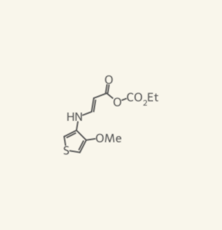 CCOC(=O)OC(=O)C=CNc1cscc1OC